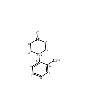 CN1CCN(c2ccccc2Cl)CC1